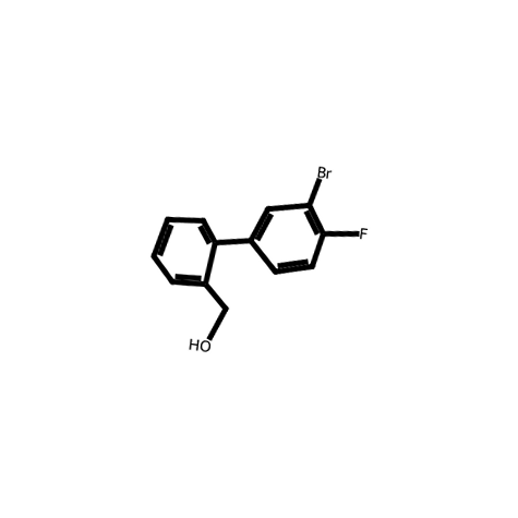 OCc1ccccc1-c1ccc(F)c(Br)c1